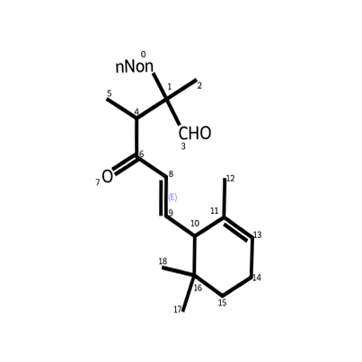 CCCCCCCCCC(C)(C=O)C(C)C(=O)/C=C/C1C(C)=CCCC1(C)C